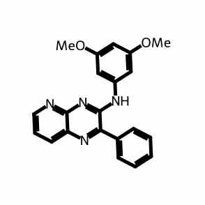 COc1cc(Nc2nc3ncccc3nc2-c2ccccc2)cc(OC)c1